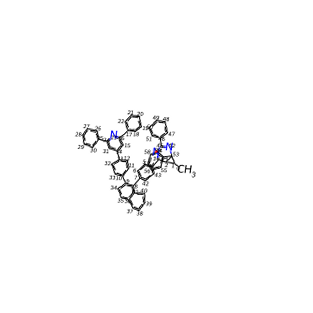 CC1C2C(c3ccc(-c4c(-c5ccc(-c6cc(-c7ccccc7)nc(-c7ccccc7)c6)cc5)ccc5ccccc45)cc3)=NC(c3ccccc3)=NC12c1ccccc1